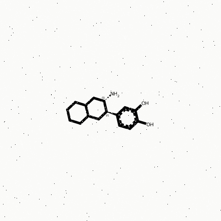 N[C@H]1CC2CCCCC2C[C@@H]1c1ccc(O)c(O)c1